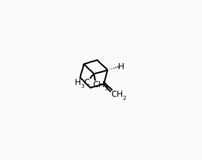 C=C1CCC2C[C@@H]1C2(C)C